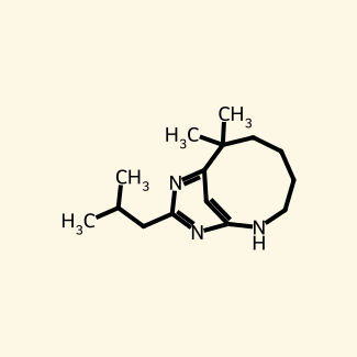 CC(C)Cc1nc2cc(n1)C(C)(C)CCCCN2